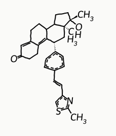 Cc1nc(/C=C/c2ccc([C@H]3C[C@@]4(C)C(CC[C@]4(C)O)C4CCC5=CC(=O)CCC5=C43)cc2)cs1